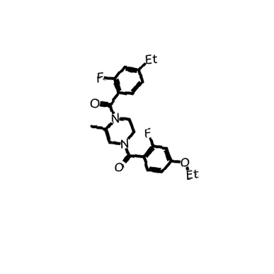 CCOc1ccc(C(=O)N2CCN(C(=O)c3ccc(CC)cc3F)C(C)C2)c(F)c1